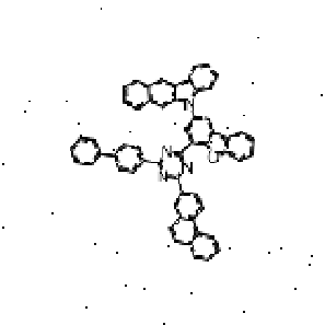 c1ccc(-c2ccc(-c3nc(-c4ccc5c(ccc6ccccc65)c4)nc(-c4cc(-n5c6ccccc6c6cc7ccccc7cc65)cc5c4oc4ccccc45)n3)cc2)cc1